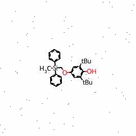 CC(C)(C)c1cc(OC[Si](C)(c2ccccc2)c2ccccc2)cc(C(C)(C)C)c1O